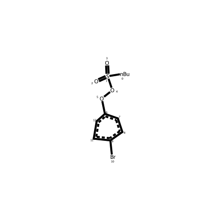 CCCCS(=O)(=O)OOc1ccc(Br)cc1